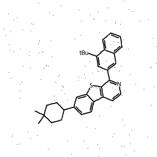 CC1(C)CCC(c2ccc3c(c2)sc2c(-c4cc(C(C)(C)C)c5ccccc5c4)nccc23)CC1